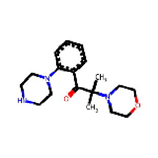 CC(C)(C(=O)c1ccccc1N1CCNCC1)N1CCOCC1